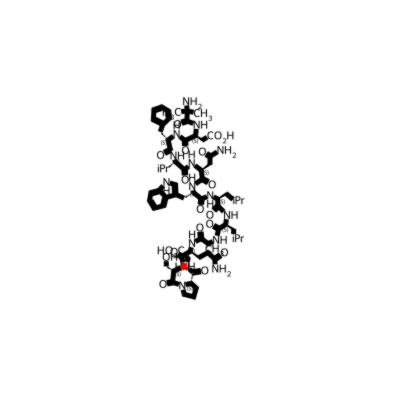 CC(C)C[C@H](NC(=O)[C@H](CC(C)C)NC(=O)[C@H](Cc1c[nH]c2ccccc12)NC(=O)[C@H](CC(N)=O)NC(=O)[C@@H](NC(=O)[C@H](Cc1ccccc1)NC(=O)[C@H](CC(=O)O)NC(=O)C(C)(C)N)C(C)C)C(=O)N[C@@H](C)C(=O)N[C@@H](CCC(N)=O)C(=O)N[C@@H](CO)C(=O)N1CCC[C@H]1C(=O)NCC(=O)O